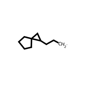 [CH2]CCC1CC12CCCC2